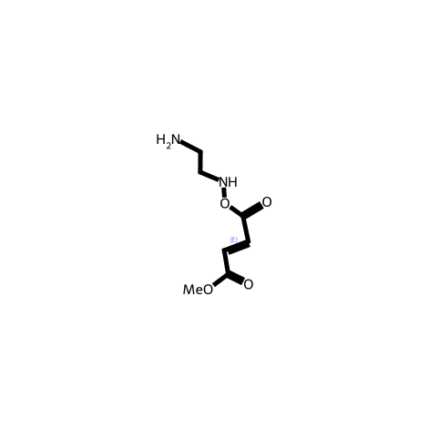 COC(=O)/C=C/C(=O)ONCCN